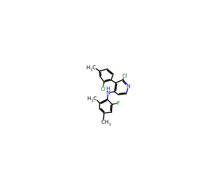 Cc1cc(C)c(Nc2ccnc(Cl)c2-c2ccc(C)cc2Cl)c(F)c1